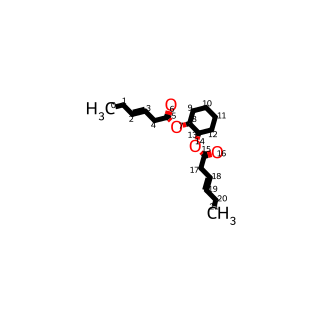 CCC=CCC(=O)OC1CCCCC1OC(=O)CC=CCC